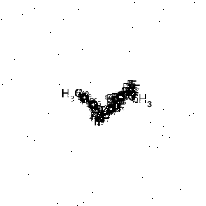 COC1(F)C(F)(F)C(F)(F)C1(F)Oc1ccc(C(c2ccc(OC3(F)C(F)(F)C(F)(F)C3(F)Oc3ccc(-c4ccc(C)cc4)cc3)cc2)(C(F)(F)F)C(F)(F)F)cc1